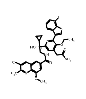 CCOc1c(CC(N)=O)cc([C@@](O)(CNC(=O)c2cc(OC)c3nc(C)c(Cl)cc3c2)C2CC2)nc1-c1csc2c(F)cccc12